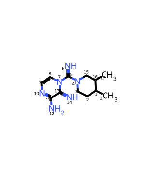 CC1CCN(C(=N)n2ccnc(N)c2=N)CC1C